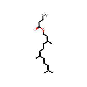 CC(C)=CCCC(C)=CCCC(C)=CCOC(=O)CCC(=O)O